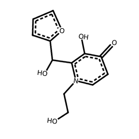 O=c1ccn(CCO)c(C(O)c2ccco2)c1O